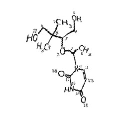 CC(O[C@H](CO)C(C)(C)CO)n1ccc(=O)[nH]c1=O